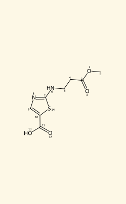 COC(=O)CCNc1ncc(C(=O)O)s1